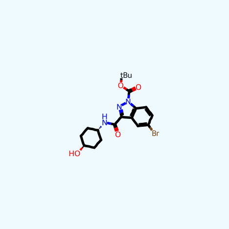 CC(C)(C)OC(=O)n1nc(C(=O)N[C@H]2CC[C@H](O)CC2)c2cc(Br)ccc21